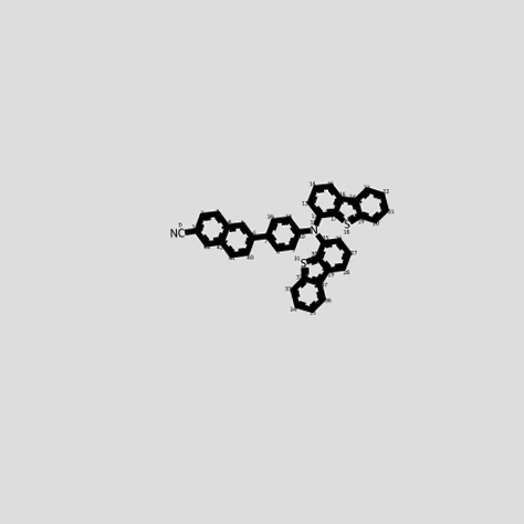 N#Cc1ccc2cc(-c3ccc(N(c4cccc5c4sc4ccccc45)c4cccc5c4sc4ccccc45)cc3)ccc2c1